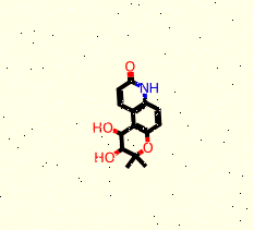 CC1(C)Oc2ccc3[nH]c(=O)ccc3c2C(O)C1O